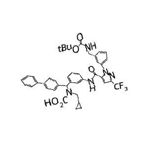 CC(C)(C)OC(=O)NCc1cccc(-n2nc(C(F)(F)F)cc2C(=O)Nc2cccc(C(c3ccc(-c4ccccc4)cc3)N(CC3CC3)C(=O)O)c2)c1